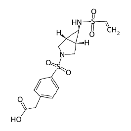 C=CS(=O)(=O)N[C@H]1[C@@H]2CN(S(=O)(=O)c3ccc(CC(=O)O)cc3)C[C@@H]21